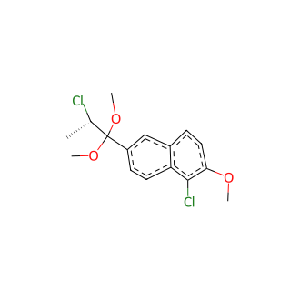 COc1ccc2cc(C(OC)(OC)[C@H](C)Cl)ccc2c1Cl